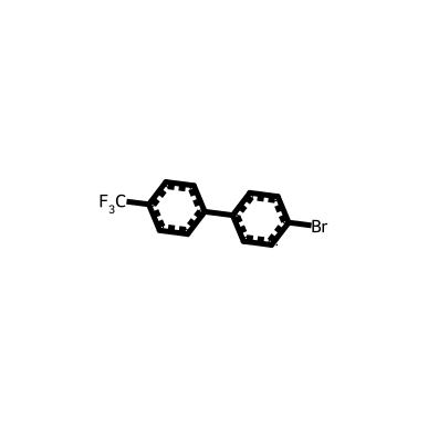 FC(F)(F)c1ccc(-c2c[c]c(Br)cc2)cc1